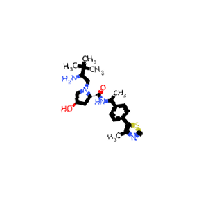 Cc1ncsc1-c1ccc(C(C)NC(=O)[C@@H]2C[C@@H](O)CN2CC(N)C(C)(C)C)cc1